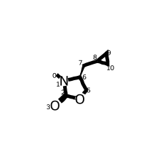 CN1C(=O)OC[C@@H]1CC1CC1